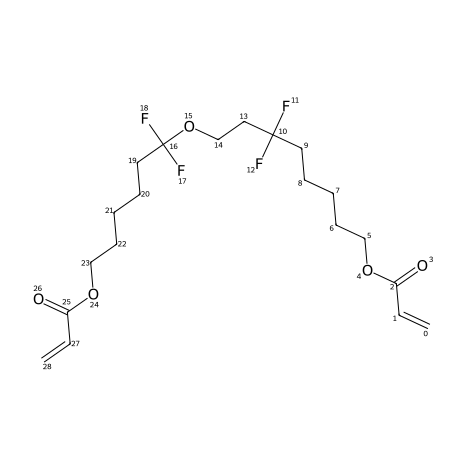 C=CC(=O)OCCCCCC(F)(F)CCOC(F)(F)CCCCCOC(=O)C=C